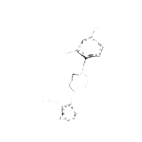 Cc1nocc1C1CCN(c2ccc(Cl)cc2F)CC1